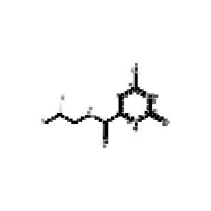 CC(C)COC(=O)c1cc(=O)[nH]c(=O)[nH]1